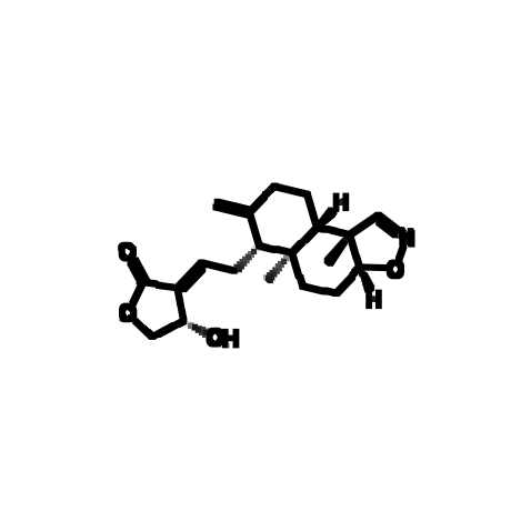 C=C1CC[C@@H]2[C@]3(C)C=NO[C@@H]3CC[C@@]2(C)[C@@H]1C/C=C1/C(=O)OC[C@H]1O